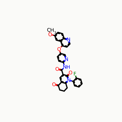 COc1ccc2nccc(Oc3ccc(NC(=O)c4cc5c(n(-c6ccccc6F)c4=O)CCCC5=O)nc3)c2c1